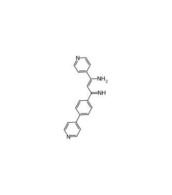 N=C(/C=C(\N)c1ccncc1)c1ccc(-c2ccncc2)cc1